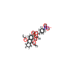 C=COc1c2ccccc2c(OC=C)c2c(OCC)c(S(=O)(=O)OCc3ccc([N+](=O)[O-])cc3)ccc12